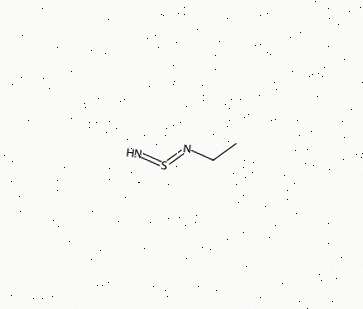 CCN=S=N